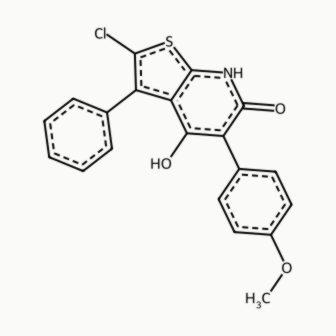 COc1ccc(-c2c(O)c3c(-c4ccccc4)c(Cl)sc3[nH]c2=O)cc1